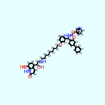 O=C(NC(c1ccc(-c2ccccc2)cc1)c1cccc(OCCCCCCCCCNCC(O)c2ccc(O)c3[nH]c(=O)ccc23)c1)OC1CN2CCC1CC2